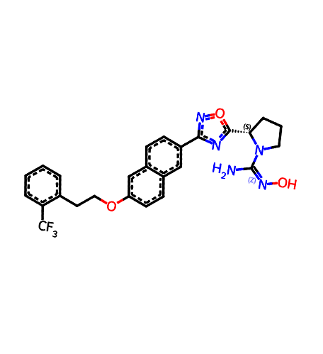 N/C(=N/O)N1CCC[C@H]1c1nc(-c2ccc3cc(OCCc4ccccc4C(F)(F)F)ccc3c2)no1